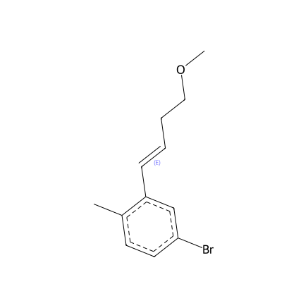 COCC/C=C/c1cc(Br)ccc1C